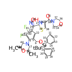 C[C@@H]1CN(c2c(CO[Si](c3ccccc3)(c3ccccc3)C(C)(C)C)cc(/C(=N/O)c3nc(C(=O)N4CCOCC4)cs3)c(F)c2F)C[C@H](C)O1